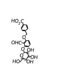 O=Cc1c(OCc2ccc(C(=O)O)cc2)cccc1OC1O[C@H](CO)[C@@H](O)[C@H](O)[C@H]1O